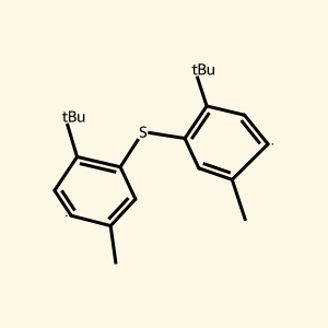 Cc1[c]cc(C(C)(C)C)c(Sc2cc(C)[c]cc2C(C)(C)C)c1